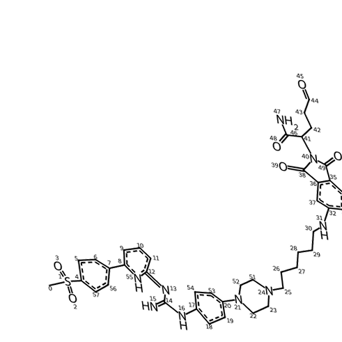 CS(=O)(=O)c1ccc(-c2ccc/c(=N/C(=N)Nc3ccc(N4CCN(CCCCCCNc5ccc6c(c5)C(=O)N(C(CCC=O)C(N)=O)C6=O)CC4)cc3)[nH]2)cc1